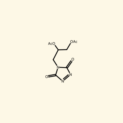 CC(=O)OCC(CN1C(=O)N=NC1=O)OC(C)=O